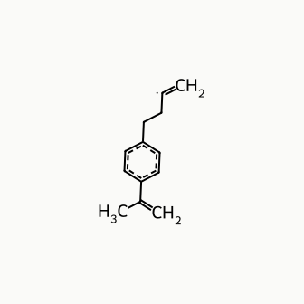 C=[C]CCc1ccc(C(=C)C)cc1